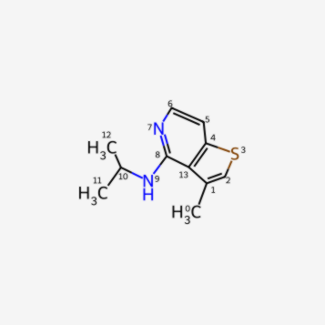 Cc1csc2ccnc(NC(C)C)c12